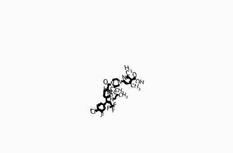 Cc1cc(N2CCN(C(=O)c3ccc4c(-c5ccc(Cl)c(F)c5)c(C(F)(F)F)n(CC(C)C)c4n3)C(C)(C)C2)nc(C)c1C(=O)O